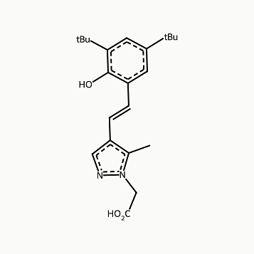 Cc1c(C=Cc2cc(C(C)(C)C)cc(C(C)(C)C)c2O)cnn1CC(=O)O